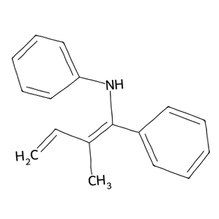 C=CC(C)=C(Nc1ccccc1)c1ccccc1